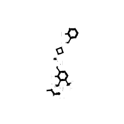 Cc1nc(-c2c(C(F)(F)F)ccc(CNC(=O)[C@H]3C[C@H](OCc4cccc(F)c4F)C3)c2F)[nH]c(=O)c1F